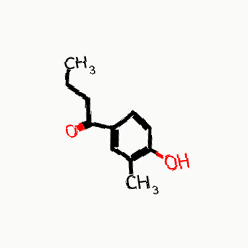 CCCC(=O)c1ccc(O)c(C)c1